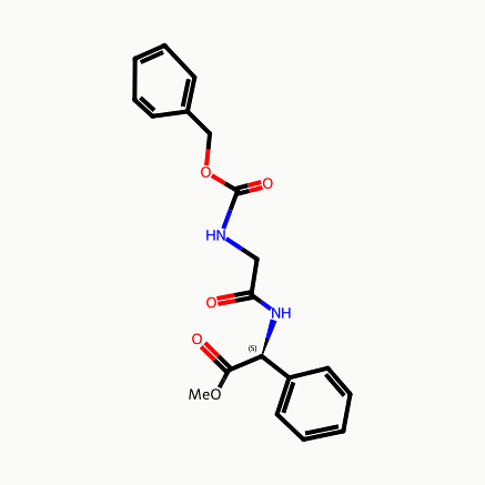 COC(=O)[C@@H](NC(=O)CNC(=O)OCc1ccccc1)c1ccccc1